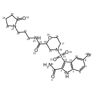 NC(=O)c1[nH]c2ccc(Br)cc2c1S(=O)(=O)N1CCOC(C(=O)NCCCN2CCCC2=O)C1